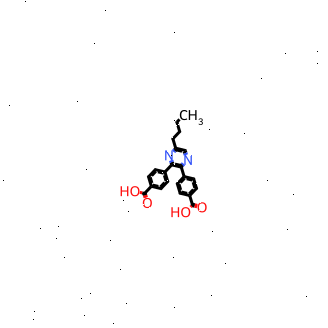 CCCCc1cnc(-c2ccc(C(=O)O)cc2)c(-c2ccc(C(=O)O)cc2)n1